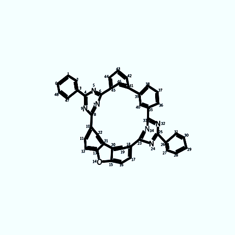 c1ccc(-c2nc3nc(n2)c2ccc4oc5ccc(cc5c4c2)c2nc(-c4ccccc4)nc(n2)c2cccc(c2)c2cccc3c2)cc1